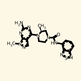 C[C@H]1CN(C(=O)Nc2cccc3nsnc23)CCN1c1nc(N)nc2c1cnn2C